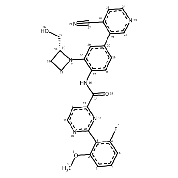 COc1cccc(F)c1-c1nccc(C(=O)Nc2ccc(-c3cnccc3C#N)cc2N2CC[C@@H]2CO)n1